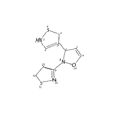 [C]1=CC(C2=CNSC2)N(C2=NSCC2)O1